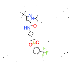 CC(C)n1nc(C(C)(C)C)cc1C(=O)N[C@H]1C[C@@H](C(C)(C)S(=O)(=O)c2cccc(C(F)(F)F)c2)C1